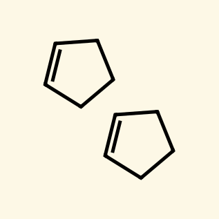 C1=CCCC1.C1=CCCC1